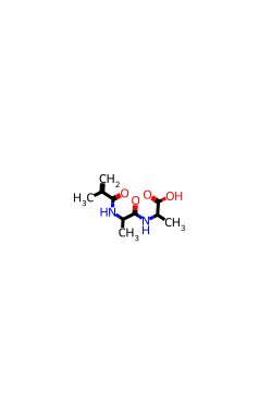 C=C(C)C(=O)NC(C)C(=O)NC(C)C(=O)O